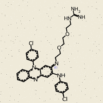 N=C(N)NCCOCCOCC/N=c1\cc2n(-c3ccc(Cl)cc3)c3ccccc3nc-2cc1Nc1ccc(Cl)cc1